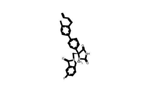 C=C/C=C\c1cc(-c2ccc([C@]3(CN4Cc5ccc(F)cc5C4=O)C(=O)NC(=O)N3N)cc2)ccc1C